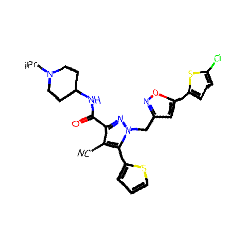 CC(C)N1CCC(NC(=O)c2nn(Cc3cc(-c4ccc(Cl)s4)on3)c(-c3cccs3)c2C#N)CC1